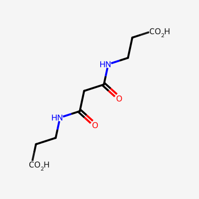 O=C(O)CCNC(=O)CC(=O)NCCC(=O)O